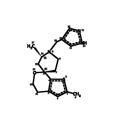 Cc1cc2c(s1)[C@]1(CCN(Cc3cn[nH]c3)[C@@H](C)C1)OCC2